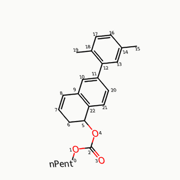 CCCCCOC(=O)OC1CC=Cc2cc(-c3cc(C)ccc3C)ccc21